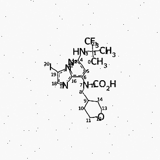 CC(C)(Nc1cc(N(CC2CCOCC2)C(=O)O)c2ncc(I)n2n1)C(F)(F)F